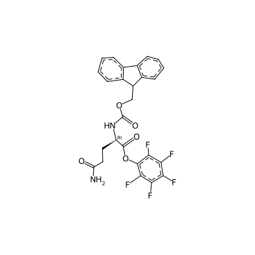 NC(=O)CC[C@@H](NC(=O)OCC1c2ccccc2-c2ccccc21)C(=O)Oc1c(F)c(F)c(F)c(F)c1F